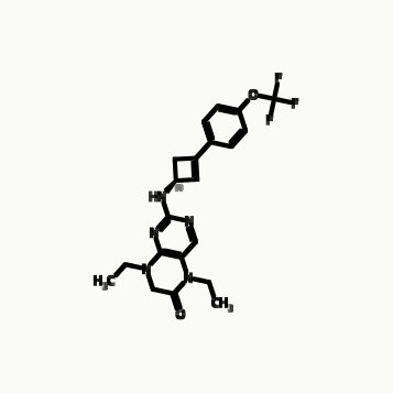 CCN1CC(=O)N(CC)c2cnc(N[C@@H]3C=C(c4ccc(OC(F)(F)F)cc4)C3)nc21